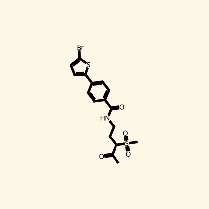 CC(=O)C(CCNC(=O)c1ccc(-c2ccc(Br)s2)cc1)S(C)(=O)=O